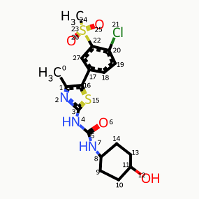 Cc1nc(NC(=O)NC2CCC(O)CC2)sc1-c1ccc(Cl)c(S(C)(=O)=O)c1